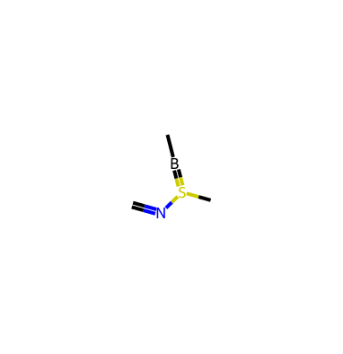 C=NS(C)=BC